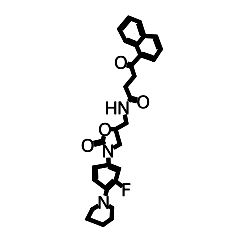 O=C(CCC(=O)c1cccc2ccccc12)NCC1CN(c2ccc(N3CCCCC3)c(F)c2)C(=O)O1